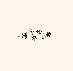 CS(=O)(=O)N1CCC(C(=O)N(CCCN2CCC(Cc3ccccc3-n3cnnn3)CC2)c2ccc(Cl)c(Cl)c2)CC1